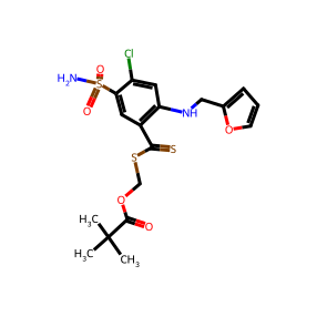 CC(C)(C)C(=O)OCSC(=S)c1cc(S(N)(=O)=O)c(Cl)cc1NCc1ccco1